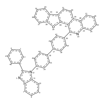 c1ccc(-c2nc3ccccc3n2-c2ccc(-c3ccc(-c4nc5ccccc5c5ccc6c7ccccc7oc6c45)cc3)cc2)cc1